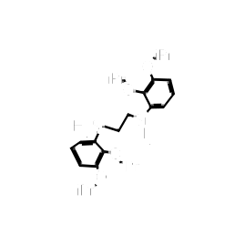 CC(C)Oc1cccc([SiH2]CC[SiH2]c2cccc(OC(C)C)c2OC(C)C)c1OC(C)C